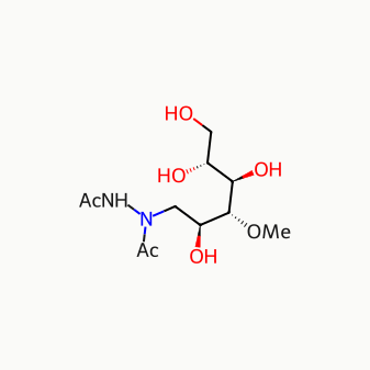 CO[C@@H]([C@H](O)[C@H](O)CO)[C@@H](O)CN(NC(C)=O)C(C)=O